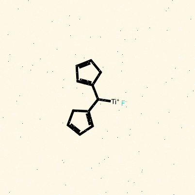 [F-].[Ti+][CH](C1=CC=CC1)C1=CC=CC1